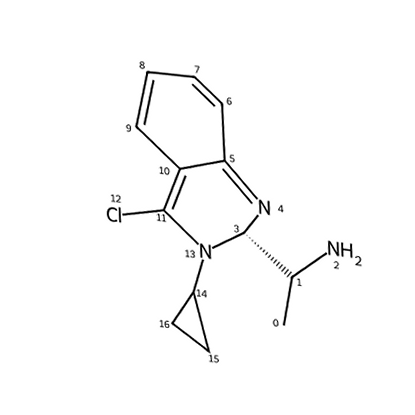 CC(N)[C@H]1N=c2ccccc2=C(Cl)N1C1CC1